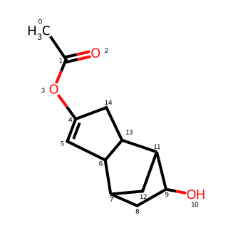 CC(=O)OC1=CC2C3CC(O)C(C3)C2C1